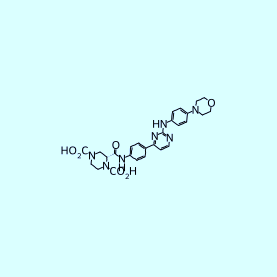 O=C(Nc1ccc(-c2ccnc(Nc3ccc(N4CCOCC4)cc3)n2)cc1)[C@H]1CN(C(=O)O)CCN1C(=O)O